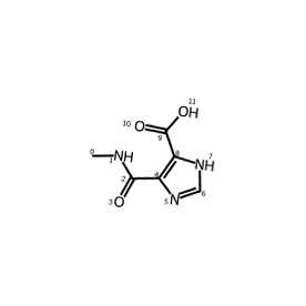 CNC(=O)c1nc[nH]c1C(=O)O